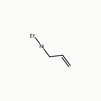 C=C[CH2][Ni][CH2]C